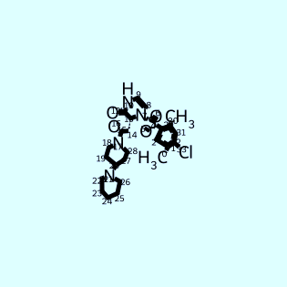 Cc1cc(S(=O)(=O)N2C=CNC(=O)[C@H]2CC(=O)N2CCC(N3CCCCC3)CC2)c(C)cc1Cl